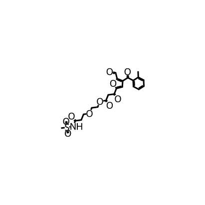 Cc1ccccc1C(=O)c1cc(C(=O)CC(=O)OCCOCCC(=O)NS(C)(=O)=O)oc1C=O